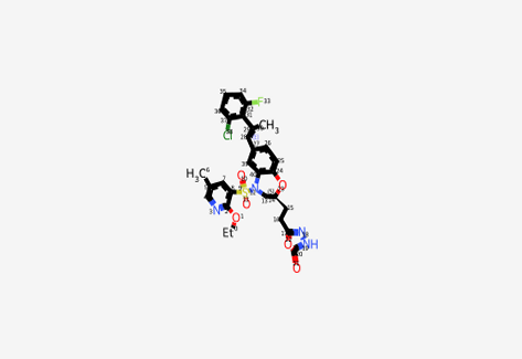 CCOc1ncc(C)cc1S(=O)(=O)N1C[C@H](CCc2n[nH]c(=O)o2)Oc2ccc(/C=C(\C)c3c(F)cccc3Cl)cc21